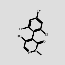 CCc1cc(CC)c(-c2c(O)cnn(C)c2=O)c(CC)c1